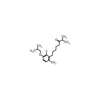 Cc1ccc(OCC(C)C)c(F)c1CCCCCC(=O)C(C)C